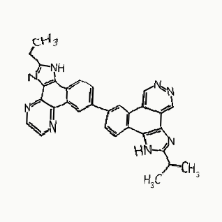 CCc1nc2c3nccnc3c3cc(-c4ccc5c(c4)c4cnncc4c4nc(C(C)C)[nH]c54)ccc3c2[nH]1